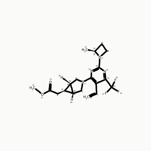 C=Cc1c(N2C[C@@H]3[C@@H](CC(=O)OC)[C@@H]3C2)nc(N2CC[C@@H]2C)nc1C(F)(F)F